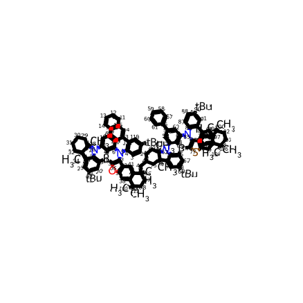 CC(C)(C)c1ccc(N2c3cc(-c4ccccc4)cc4c3B(c3cc(C(C)(C)C)cc5c3N4C3(C)CCCCC53C)c3oc4cc5c(cc4c32)C(C)(CC2CCC3(C)N4c6cc(-c7ccccc7)cc7c6B(c6cc(C(C)(C)C)cc(c64)C3(C)C2)c2sc3cc4c(cc3c2N7c2ccc(C(C)(C)C)cc2-c2ccccc2)C(C)(C)CCC4(C)C)CCC5(C)C)c(-c2ccccc2)c1